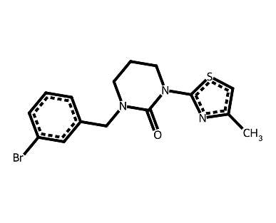 Cc1csc(N2CCCN(Cc3cccc(Br)c3)C2=O)n1